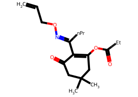 C=CCON=C(CCC)C1=C(OC(=O)CC)CC(C)(C)CC1=O